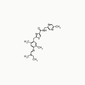 CCN(C)/C=N/c1cc(C)c(Cc2nc(C(=O)NCc3cnc(C)cn3)cs2)cc1C